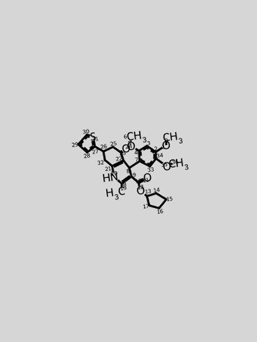 COc1cc(OC)c(C2C(C(=O)OC3CCCC3)=C(C)NC3=C2C(=O)CC(c2cccs2)C3)cc1OC